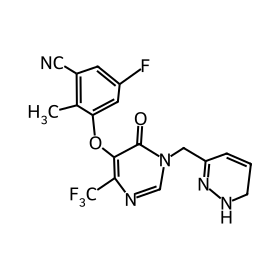 Cc1c(C#N)cc(F)cc1Oc1c(C(F)(F)F)ncn(CC2=NNCC=C2)c1=O